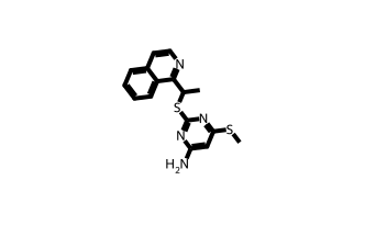 CSc1cc(N)nc(SC(C)c2nccc3ccccc23)n1